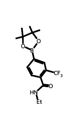 CCNC(=O)c1ccc(B2OC(C)(C)C(C)(C)O2)cc1C(F)(F)F